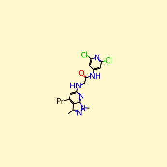 Cc1nn(C)c2nc(NCC(=O)Nc3cc(Cl)nc(Cl)c3)cc(C(C)C)c12